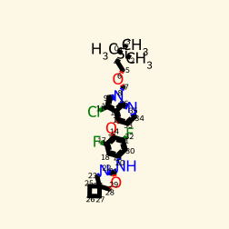 C[Si](C)(C)CCOCn1cc(Cl)c2c(Oc3c(F)cc(NC4=NCC5(CCC5)CO4)cc3F)ccnc21